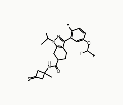 CC(C)n1nc(-c2cc(OC(F)F)ccc2F)c2c1CC(C(=O)NC1(C)CC(=S)C1)CC2